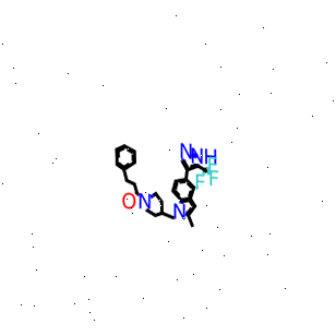 Cc1cc2cc(-c3cn[nH]c3C(F)(F)F)ccc2n1CC1CCN(C(=O)CCc2ccccc2)CC1